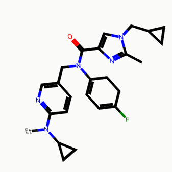 CCN(c1ccc(CN(C(=O)c2cn(CC3CC3)c(C)n2)C2=CC=C(F)CC2)cn1)C1CC1